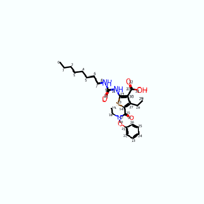 CCCCCCCCNC(=O)Nc1sc(C(=O)N(CC)Oc2ccccc2)c(CC)c1C(=O)O